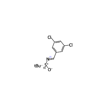 CC(C)(C)[S@@+]([O-])/N=C/c1cc(Cl)cc(Cl)c1